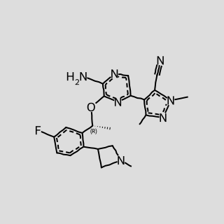 Cc1nn(C)c(C#N)c1-c1cnc(N)c(O[C@H](C)c2cc(F)ccc2C2CN(C)C2)n1